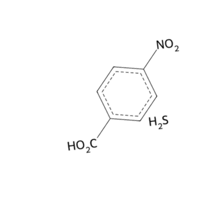 O=C(O)c1ccc([N+](=O)[O-])cc1.S